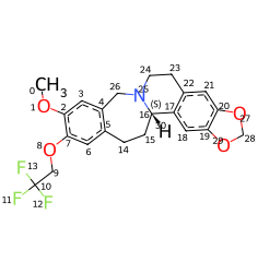 COc1cc2c(cc1OCC(F)(F)F)CC[C@H]1c3cc4c(cc3CCN1C2)OCO4